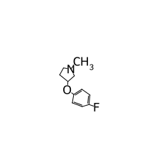 CN1CCC(Oc2ccc(F)cc2)C1